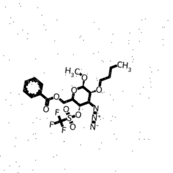 CCCCO[C@H]1C(N=[N+]=[N-])[C@H](OS(=O)(=O)C(F)(F)F)C(COC(=O)c2ccccc2)O[C@H]1OC